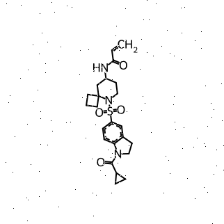 C=CC(=O)NC1CCN(S(=O)(=O)c2ccc3c(c2)CCN3C(=O)C2CC2)C2(CCC2)C1